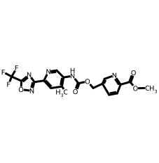 COC(=O)c1ccc(COC(=O)Nc2cnc(-c3noc(C(F)(F)F)n3)cc2C)cn1